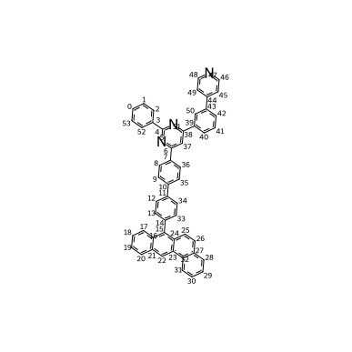 c1ccc(-c2nc(-c3ccc(-c4ccc(-c5c6ccccc6cc6c5ccc5ccccc56)cc4)cc3)cc(-c3cccc(-c4ccncc4)c3)n2)cc1